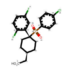 O=C(O)C[C@H]1CC[C@](c2cc(F)ccc2F)(S(=O)(=O)c2ccc(Cl)cc2)CC1